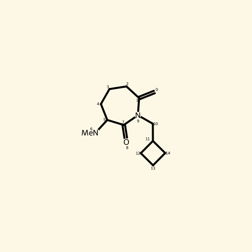 C=C1CCCC(NC)C(=O)N1CC1CCC1